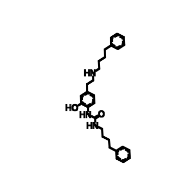 O=C(NCCCCc1ccccc1)Nc1ccc(CCNCCCCc2ccccc2)cc1O